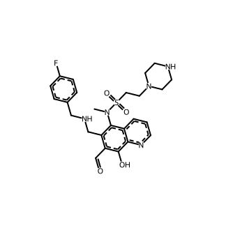 CN(c1c(CNCc2ccc(F)cc2)c(C=O)c(O)c2ncccc12)S(=O)(=O)CCN1CCNCC1